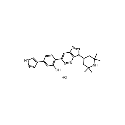 CC1(C)CC(n2nnc3cc(-c4ccc(-c5cn[nH]c5)cc4O)nnc32)CC(C)(C)N1.Cl